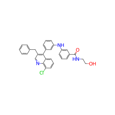 O=C(NCCO)c1cccc(Nc2cccc(-c3c(Cc4ccccc4)cnc4c(Cl)cccc34)c2)c1